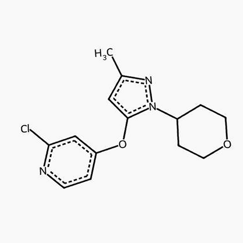 Cc1cc(Oc2ccnc(Cl)c2)n(C2CCOCC2)n1